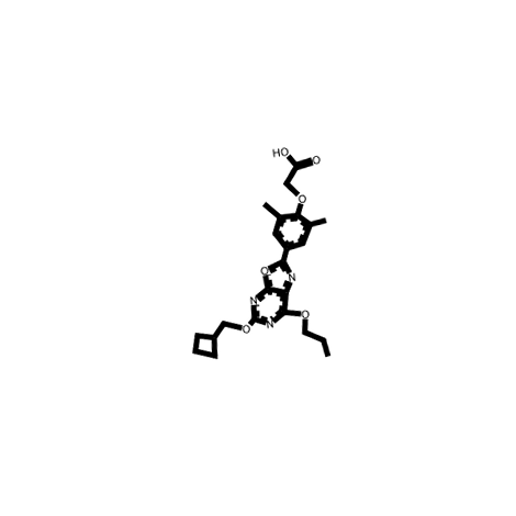 CCCOc1nc(OCC2CCC2)nc2oc(-c3cc(C)c(OCC(=O)O)c(C)c3)nc12